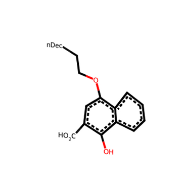 CCCCCCCCCCCCOc1cc(C(=O)O)c(O)c2ccccc12